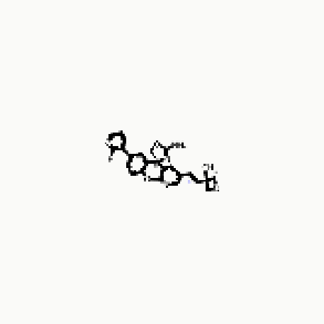 CC1(/C=C/c2cnc3c(c2)[C@]2(COC(N)=N2)c2cc(-c4cccnc4F)ccc2O3)COC1